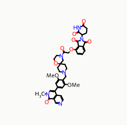 COc1cc(-c2cn(C)c(=O)c3cnccc23)cc(OC)c1CN1CCC2(CC1)CN(C(=O)COc1cccc3c1C(=O)N(C1CCC(=O)NC1=O)C3=O)CCO2